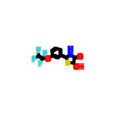 O=C1NC(c2cccc(OC(F)(F)C(F)F)c2)SC1O